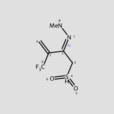 C=C(/C(C[SH](=O)=O)=N\NC)C(F)(F)F